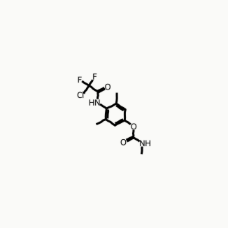 CNC(=O)Oc1cc(C)c(NC(=O)C(F)(F)Cl)c(C)c1